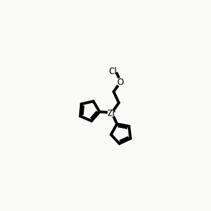 ClOC[CH2][Zr]([C]1=CC=CC1)[C]1=CC=CC1